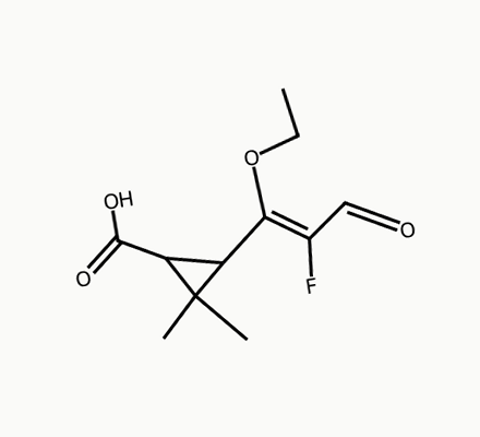 CCOC(=C(F)C=O)C1C(C(=O)O)C1(C)C